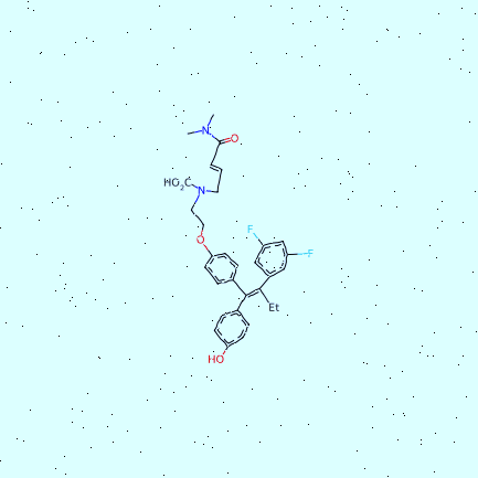 CC/C(=C(\c1ccc(O)cc1)c1ccc(OCCN(C/C=C/C(=O)N(C)C)C(=O)O)cc1)c1cc(F)cc(F)c1